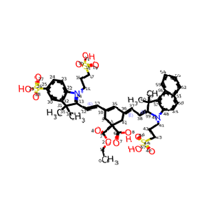 CCOC(=O)C1(C(=O)O)CC(/C=C/C2=[N+](CCCS(=O)(=O)O)c3ccc(S(=O)(=O)O)cc3C2(C)C)=CC(=C/C=C2/N(CCCS(=O)(=O)O)c3ccc4ccccc4c3C2(C)C)/C1